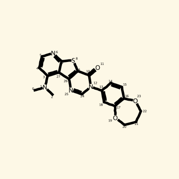 CN(C)c1ccnc2sc3c(=O)n(-c4ccc5c(c4)OCCCO5)cnc3c12